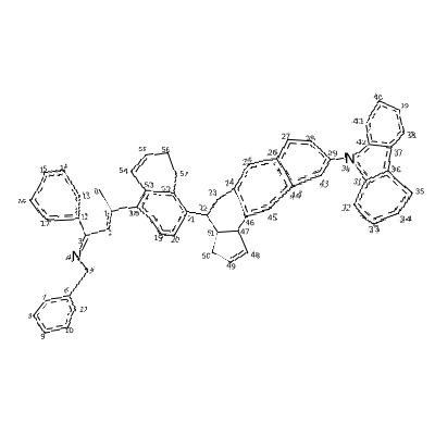 C/C(=C\C(=N/Cc1ccccc1)c1ccccc1)c1ccc(C2Cc3cc4ccc(-n5c6ccccc6c6ccccc65)cc4cc3C3C=CCC32)c2c1C=CCC2